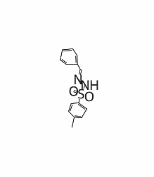 Cc1ccc(S(=O)(=O)NN=Cc2ccccc2)cc1